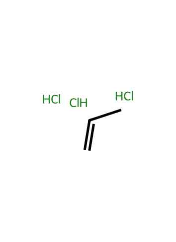 C=CC.Cl.Cl.Cl